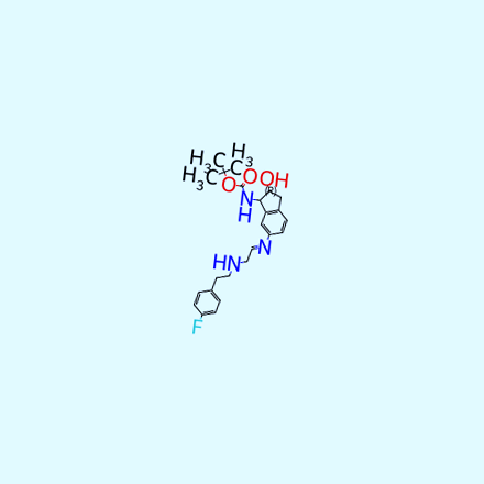 CC(C)(C)OC(=O)NC1c2cc(N=CCNCCc3ccc(F)cc3)ccc2C[C@H]1O